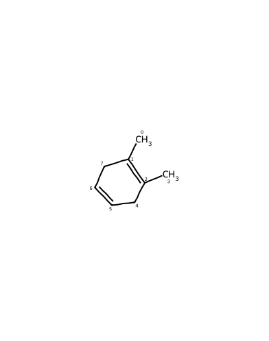 CC1=C(C)CC=CC1